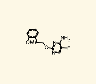 COc1ccccc1CCOc1ncc(F)c(N)n1